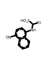 CCC(Nc1ccc(N=O)c2ccccc12)S(=O)(=O)O